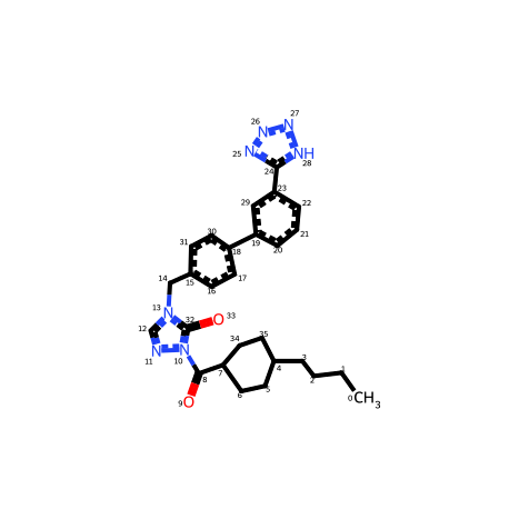 CCCCC1CCC(C(=O)n2ncn(Cc3ccc(-c4cccc(-c5nnn[nH]5)c4)cc3)c2=O)CC1